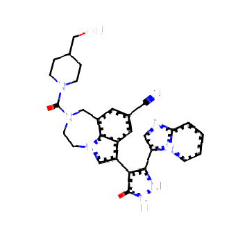 N#Cc1cc2c3c(c1)c(-c1c(-c4cnc5ccccn45)[nH][nH]c1=O)cn3CCN(C(=O)N1CCC(CO)CC1)C2